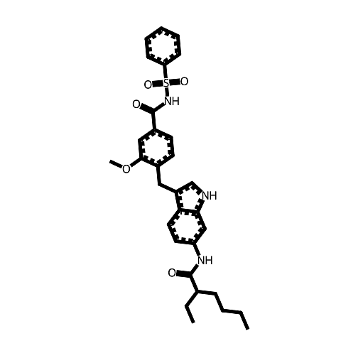 CCCCC(CC)C(=O)Nc1ccc2c(Cc3ccc(C(=O)NS(=O)(=O)c4ccccc4)cc3OC)c[nH]c2c1